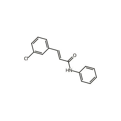 O=C(C=Cc1cccc(Cl)c1)Nc1ccccc1